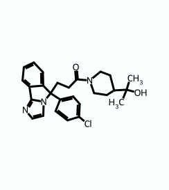 CC(C)(O)C1CCN(C(=O)CCC2(c3ccc(Cl)cc3)c3ccccc3-c3nccn32)CC1